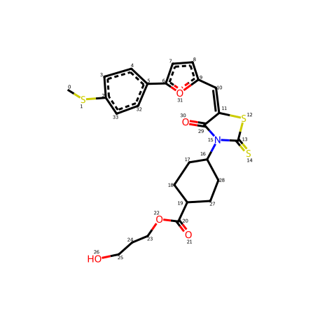 CSc1ccc(-c2ccc(C=C3SC(=S)N(C4CCC(C(=O)OCCCO)CC4)C3=O)o2)cc1